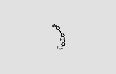 CCCCc1ccc(C#Cc2ccc(CNCc3ccc(C(F)(F)F)cc3)cc2)cc1